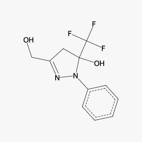 OCC1=NN(c2ccccc2)C(O)(C(F)(F)F)C1